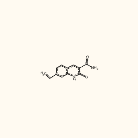 C=Cc1ccc2cc(C(N)=O)c(=O)[nH]c2c1